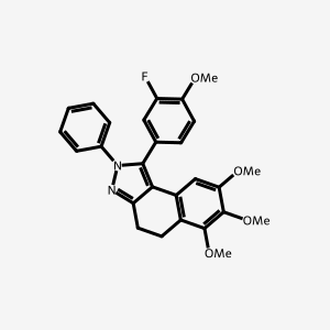 COc1ccc(-c2c3c(nn2-c2ccccc2)CCc2c-3cc(OC)c(OC)c2OC)cc1F